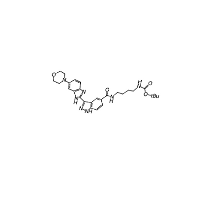 CC(C)(C)OC(=O)NCCCCNC(=O)c1ccc2[nH]nc(-c3nc4ccc(N5CCOCC5)cc4[nH]3)c2c1